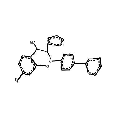 OC(c1ccc(Cl)cc1Cl)C(Oc1ccc(-c2ccccc2)cc1)c1ccc[nH]1